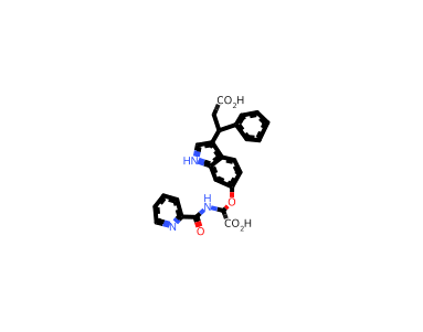 O=C(O)CC(c1ccccc1)c1c[nH]c2cc(OC(NC(=O)c3ccccn3)C(=O)O)ccc12